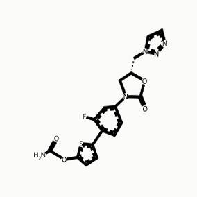 NC(=O)Oc1ccc(-c2ccc(N3C[C@H](Cn4ccnn4)OC3=O)cc2F)s1